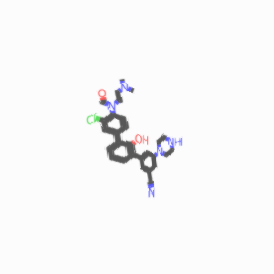 CN(C)CCN(C=O)c1ccc(-c2cccc(-c3cc(C#N)cc(N4CCNCC4)c3)c2O)cc1Cl